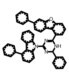 c1ccc(-c2ccc3c(c2)oc2cccc(C4=NC(n5c6ccccc6c6c(-c7ccccc7)cccc65)=NC(c5ccccc5)N4)c23)cc1